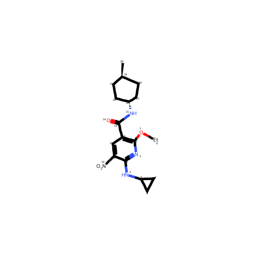 CCOc1nc(NC2CC2)c([N+](=O)[O-])cc1C(=O)N[C@H]1CC[C@H](C)CC1